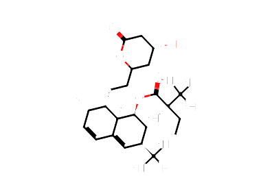 [2H]C([2H])([2H])[C@H]1C=C2C=C[C@H](C)[C@H](CCC3C[C@@H](O)CC(=O)O3)[C@H]2[C@@H](OC(=O)[C@]([2H])(CC)C([2H])([2H])[2H])C1